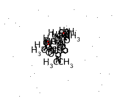 COc1c(CN2O[C@@H](CO)[C@H]([C@H](C)O)[C@H]2C(=O)N[C@H]2C[C@H]3C[C@@H]([C@@H]2C)C3(C)C)cccc1-c1cc(C(=O)N[C@H](CN(C)C)C(=O)C(C)c2ccccc2)cc(N(C)C)c1